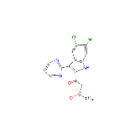 C[S+]([O-])CC(=O)c1[nH]c2cc(Br)c(Cl)cc2c1-c1ncccn1